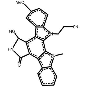 COc1ccc2c(c1)c1c3c(c4c5ccccc5n(C)c4c1n2CCC#N)C(=O)NC3O